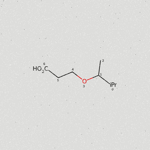 CC(C)C(C)OCCC(=O)O